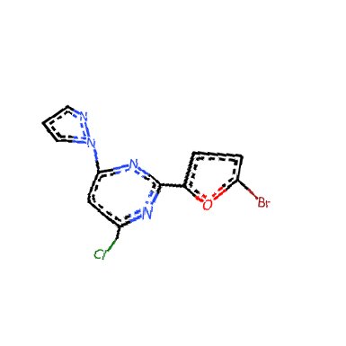 Clc1cc(-n2cccn2)nc(-c2ccc(Br)o2)n1